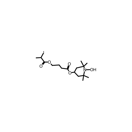 CC(I)C(=O)OCCCC(=O)OC1CC(C)(C)N(O)C(C)(C)C1